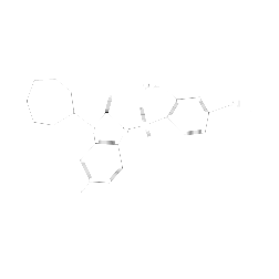 COc1cc(N)ccc1S(=O)(=O)n1c(=O)n(C2CCCCCC2)c2cc(Cl)ccc21